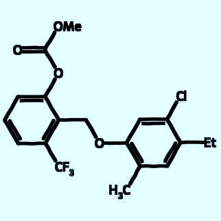 CCc1cc(C)c(OCc2c(OC(=O)OC)cccc2C(F)(F)F)cc1Cl